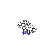 N.N.c1ccc(-c2cccc(-c3cccc(-c4ccccc4)c3-c3ccccc3)c2-c2ccccc2)cc1